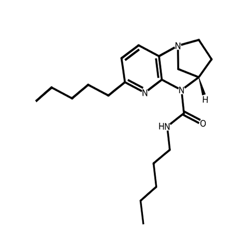 CCCCCNC(=O)N1c2nc(CCCCC)ccc2N2CC[C@H]1C2